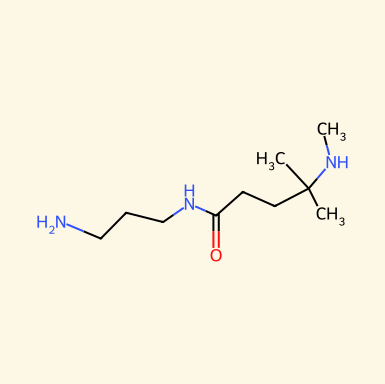 CNC(C)(C)CCC(=O)NCCCN